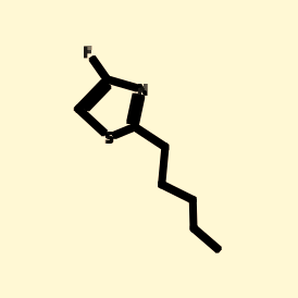 CCCCCc1nc(F)cs1